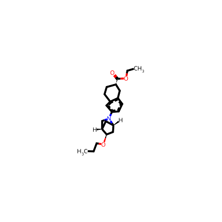 CCCO[C@@H]1C[C@@H]2C[C@H]1CN2c1ccc2c(c1)CC[C@H](C(=O)OCC)C2